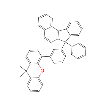 CC1(C)c2ccccc2Oc2c(-c3cccc(C4(c5ccccc5)c5ccccc5-c5c4ccc4ccccc54)c3)cccc21